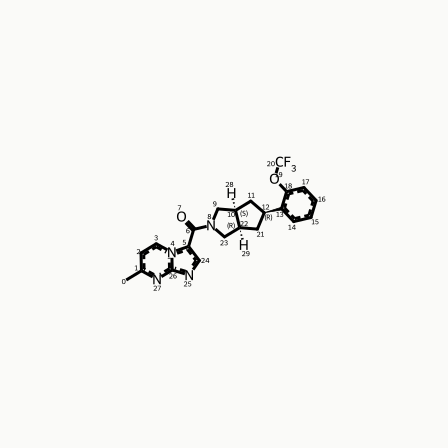 Cc1ccn2c(C(=O)N3C[C@H]4C[C@@H](c5ccccc5OC(F)(F)F)C[C@H]4C3)cnc2n1